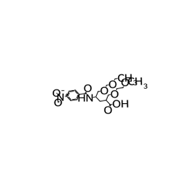 CCOCOCC(CC(COCCOC)C(=O)O)NC(=O)c1ccc([N+](=O)[O-])cc1